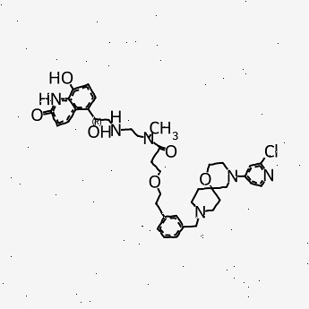 CN(CCNC[C@H](O)c1ccc(O)c2[nH]c(=O)ccc12)C(=O)CCOCCc1cccc(CN2CCC3(CC2)CN(c2ccnc(Cl)c2)CCO3)c1